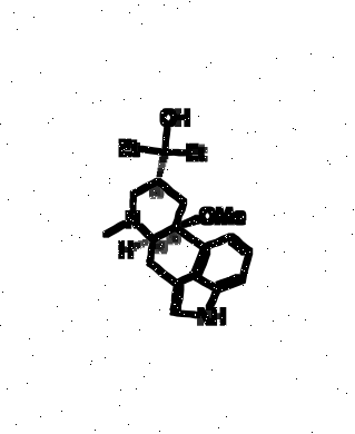 CCC(O)(CC)[C@H]1CN(C)[C@@H]2Cc3c[nH]c4cccc(c34)[C@@]2(OC)C1